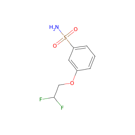 NS(=O)(=O)c1cccc(OCC(F)F)c1